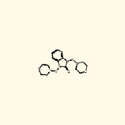 O=c1n(SN2CCOCC2)c2ccccc2n1SN1CCOCC1